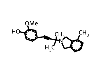 COc1cc(C#CC(C)(C)N2Cc3cccc(C)c3C2)ccc1O